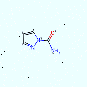 NC(=O)n1c[c]cn1